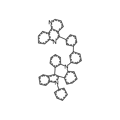 c1ccc(-n2c3c(c4ccccc42)-c2ccccc2N(c2cccc(-c4cccc(-c5nc6ccccc6c6ncccc56)c4)c2)c2ccccc2-3)cc1